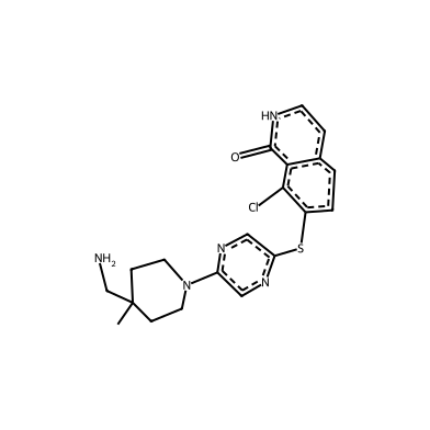 CC1(CN)CCN(c2cnc(Sc3ccc4cc[nH]c(=O)c4c3Cl)cn2)CC1